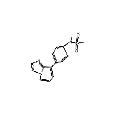 CS(=O)(=O)Nc1ccc(-c2cccn3ccnc23)cc1